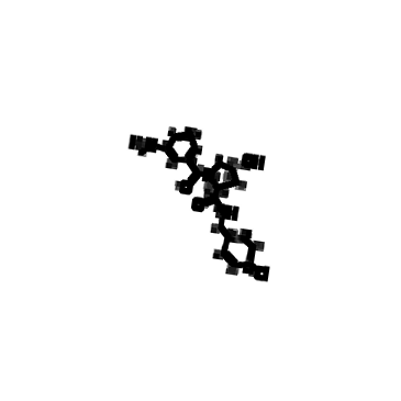 Nc1cncc(C(=O)N2C[C@H](O)C[C@H]2C(=O)NCc2ccc(Cl)cc2)c1